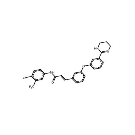 O=C(C=Cc1cccc(Oc2ccnc(C3=NCCCN3)c2)c1)Nc1ccc(Cl)c(C(F)(F)F)c1